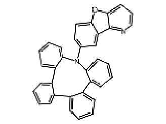 c1cnc2c(c1)oc1ccc(-n3c4ccccc4c4ccccc4c4ccccc4c4ccccc43)cc12